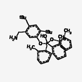 Cc1ccccc1OP(O)(Oc1cc(CN)c(C(C)(C)C)cc1C(C)(C)C)(c1ccccc1C)c1ccccc1C